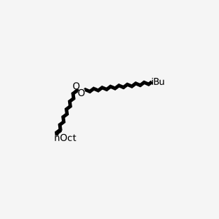 CCCCCCCCC=CCCCCCCCCCC(=O)OCCCCCCCCCCCCCCCCC(C)CC